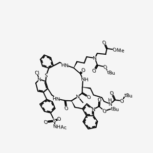 COC(=O)CCN(CCC[C@@H]1NCc2ccccc2SC2=C(CNC(=O)[C@H](Cc3cn(C(=O)OC(C)(C)C)c4ccccc34)N(C)C(=O)[C@H](CCCCNC(=O)OC(C)(C)C)NC1=O)C(c1ccc(S(=O)(=O)NC(C)=O)cc1)=CCN2Cl)C(=O)OC(C)(C)C